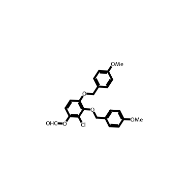 COc1ccc(COc2ccc(OC=O)c(Cl)c2OCc2ccc(OC)cc2)cc1